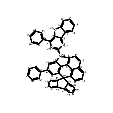 c1ccc(-c2cc3c4c5c6c(cccc6ccc5n(-c5nc(-c6ccccc6)c6sc7ccccc7c6n5)c4c2)C32c3ccccc3-c3ccccc32)cc1